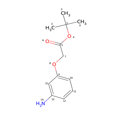 CC(C)(C)OC(=O)COc1cccc(N)c1